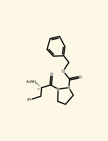 CC(=O)N[C@@H](CC(C)C)C(=O)N1CCCN1C(=O)OCc1ccccc1